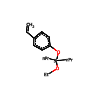 C=Cc1ccc(O[Si](CCC)(CCC)OCC)cc1